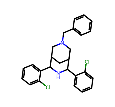 Clc1ccccc1C1NC(c2ccccc2Cl)C2CC1CN(Cc1ccccc1)C2